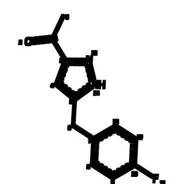 CC(=O)c1cc(Cc2ccc(F)cc2)[nH]n1